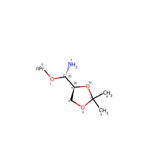 CCCO[C@H](N)[C@@H]1COC(C)(C)O1